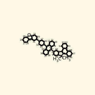 CC1(C)c2ccc(-c3c4ccccc4c(-c4ccc(-c5ccc6oc7ccccc7c6c5)cc4)c4ccccc34)cc2-c2c1c1ccccc1c1ccccc21